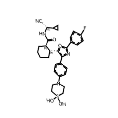 N#C[C@@H](NC(=O)[C@@H]1CCCC[C@H]1c1oc(-c2ccc(F)cc2)nc1-c1ccc(N2CCS(O)(O)CC2)cc1)C1CC1